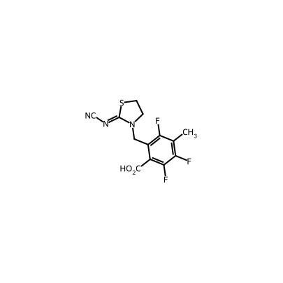 Cc1c(F)c(F)c(C(=O)O)c(CN2CCSC2=NC#N)c1F